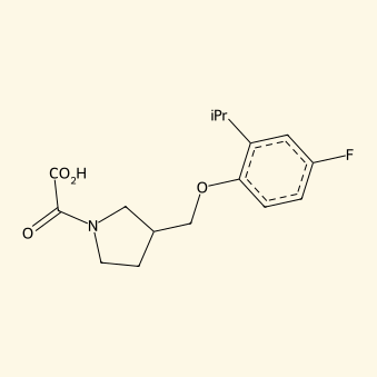 CC(C)c1cc(F)ccc1OCC1CCN(C(=O)C(=O)O)C1